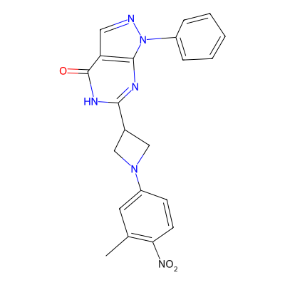 Cc1cc(N2CC(c3nc4c(cnn4-c4ccccc4)c(=O)[nH]3)C2)ccc1[N+](=O)[O-]